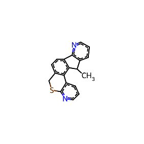 CC1c2cccnc2-c2ccc3c(c21)-c1cccnc1SC3